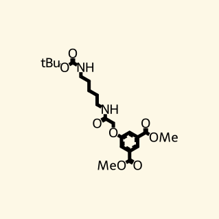 COC(=O)c1cc(OCC(=O)NCCCCCNC(=O)OC(C)(C)C)cc(C(=O)OC)c1